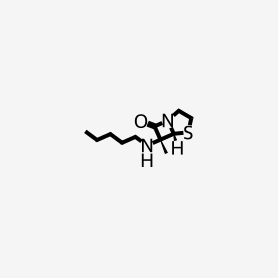 CCCCCN[C@]1(C)C(=O)N2CCS[C@@H]21